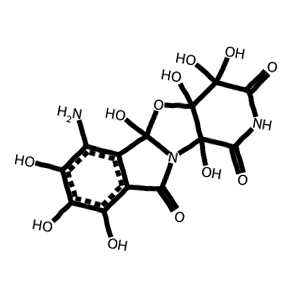 Nc1c(O)c(O)c(O)c2c1C1(O)OC3(O)C(O)(O)C(=O)NC(=O)C3(O)N1C2=O